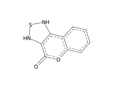 O=c1oc2ccccc2c2c1NSN2